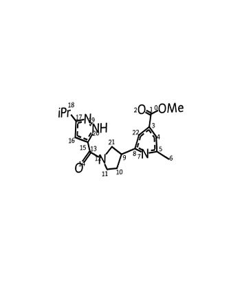 COC(=O)c1cc(C)nc(C2CCN(C(=O)c3cc(C(C)C)n[nH]3)C2)c1